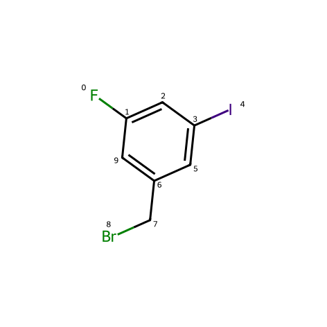 Fc1cc(I)cc(CBr)c1